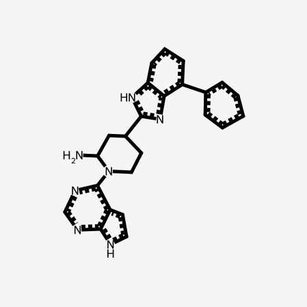 NC1CC(c2nc3c(-c4ccccc4)cccc3[nH]2)CCN1c1ncnc2[nH]ccc12